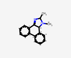 CC1N=C2c3ccccc3-c3ccccc3C2N1C